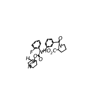 O=C(O)C1CCCN1C(=O)c1cccc(CN(C(=O)O[C@H]2CN3CCC2CC3)c2ccccc2F)c1